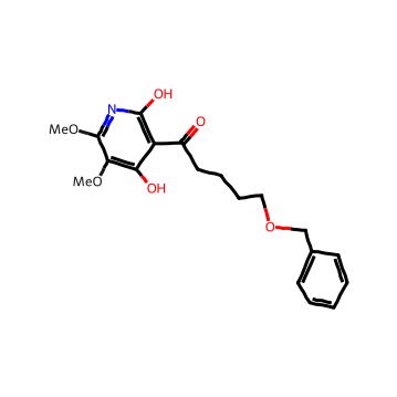 COc1nc(O)c(C(=O)CCCCOCc2ccccc2)c(O)c1OC